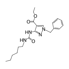 CCCCCCNC(=O)Nc1nn(Cc2ccccc2)cc1C(=O)OCC